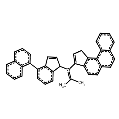 C[C](C)=[Zr]([C]1=CCc2c1ccc1ccc3ccccc3c21)[CH]1C=Cc2c(-c3cccc4ccccc34)cccc21